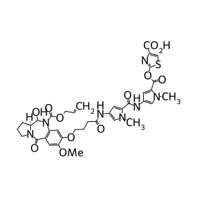 C=CCOC(=O)N1c2cc(OCCCC(=O)Nc3cc(C(=O)Nc4cc(C(=O)Oc5nc(C(=O)O)cs5)n(C)c4)n(C)c3)c(OC)cc2C(=O)N2CCC[C@H]2C1O